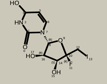 O=C1NC(O)C=CN1[C@@H]1O[C@](F)(CI)[C@@H](O)[C@H]1O